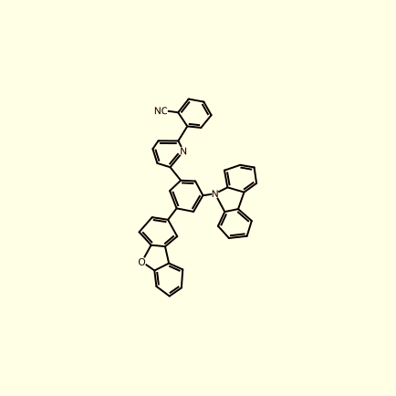 N#Cc1ccccc1-c1cccc(-c2cc(-c3ccc4oc5ccccc5c4c3)cc(-n3c4ccccc4c4ccccc43)c2)n1